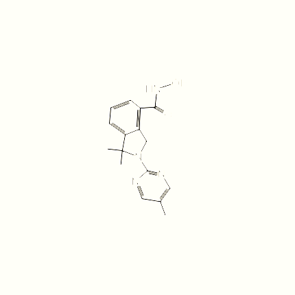 Cc1cnc(N2Cc3c(C(=O)NO)cccc3C2(C)C)nc1